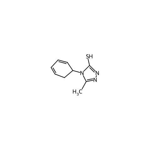 Cc1nnc(S)n1C1C=CC=CC1